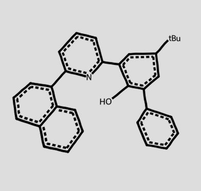 CC(C)(C)c1cc(-c2ccccc2)c(O)c(-c2cccc(-c3cccc4ccccc34)n2)c1